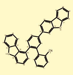 N#Cc1ccccc1-c1cc(-c2ccc3c(c2)oc2ccccc23)ccc1-c1cccc2oc3ccccc3c12